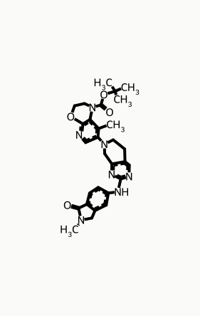 Cc1c(N2CCc3cnc(Nc4ccc5c(c4)CN(C)C5=O)nc3C2)cnc2c1N(C(=O)OC(C)(C)C)CCO2